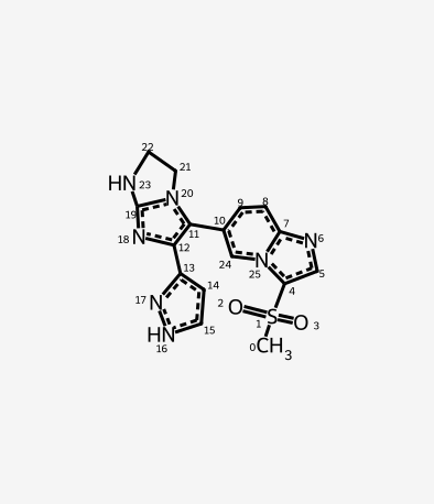 CS(=O)(=O)c1cnc2ccc(-c3c(-c4cc[nH]n4)nc4n3CCN4)cn12